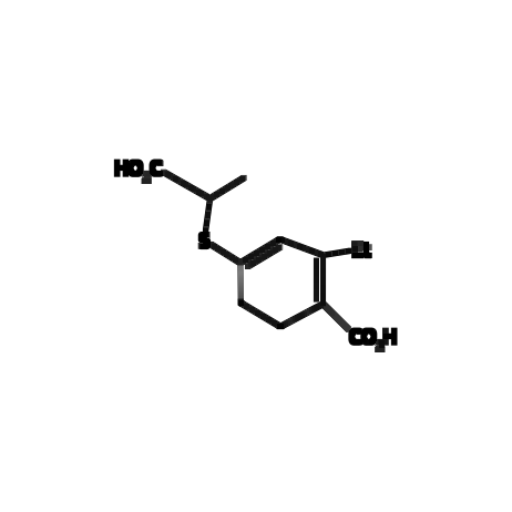 CCC1=C(C(=O)O)CCC(SC(C)C(=O)O)=C1